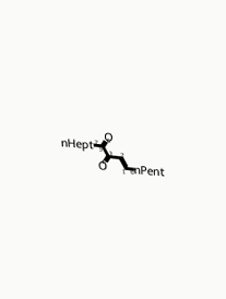 CCCCCC=CC(=O)C(=O)CCCCCCC